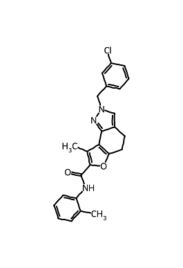 Cc1ccccc1NC(=O)c1oc2c(c1C)-c1nn(Cc3cccc(Cl)c3)cc1CC2